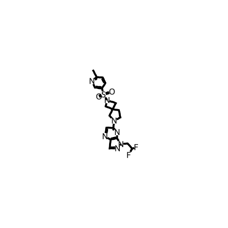 Cc1ccc(S(=O)(=O)N2CC3(CCN(c4cnc5cnn(CC(F)F)c5n4)C3)C2)cn1